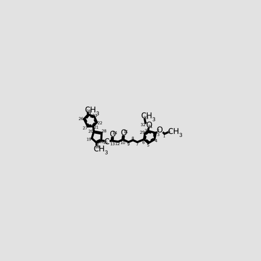 CCOc1ccc(CCCC(=O)CC(=O)CC2=C(C)CC(c3ccc(C)cc3)=C2)cc1OCC